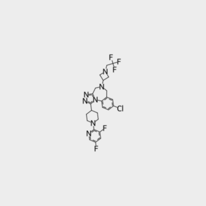 Fc1cnc(N2CCC(c3nnc4n3-c3ccc(Cl)cc3CN(C3CN(CC(F)(F)F)C3)C4)CC2)c(F)c1